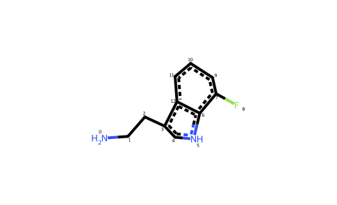 NCCc1c[nH]c2c(F)cccc12